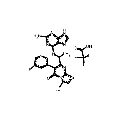 Cc1csc2nc(C(C)Nc3nc(N)nc4[nH]cnc34)c(-c3cncc(F)c3)c(=O)n12.O=C(O)C(F)(F)F